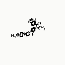 CCCCOc1ccc(C(=O)N(C)c2ccc(N3CCC(N4CCN(C)CC4)C3)c(F)c2)cc1